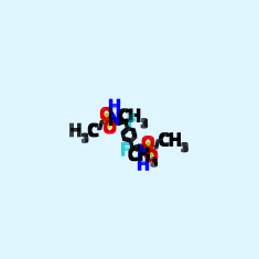 CCCS(=O)(=O)NCC(C)(F)c1ccc(C(C)(F)CNS(=O)(=O)CCC)cc1